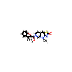 CNC1=NC(=O)SC1=CC1CCN(C(=O)c2oc3ccccc3c2C)CC1